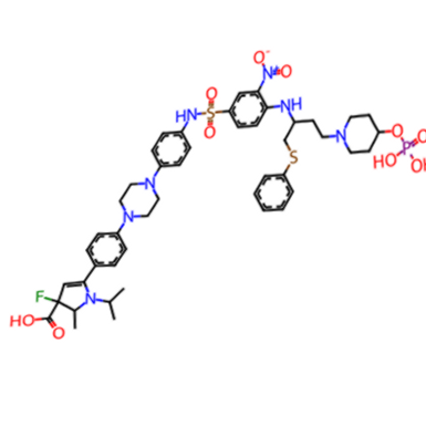 CC(C)N1C(c2ccc(N3CCN(c4ccc(NS(=O)(=O)c5ccc(NC(CCN6CCC(OP(=O)(O)O)CC6)CSc6ccccc6)c([N+](=O)[O-])c5)cc4)CC3)cc2)=CC(F)(C(=O)O)C1C